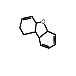 [C]1CC=CC2OC3C=CC=CC3C12